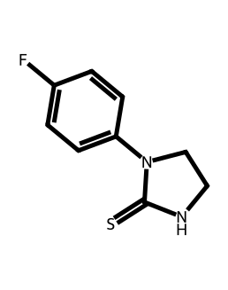 Fc1ccc(N2CCNC2=S)cc1